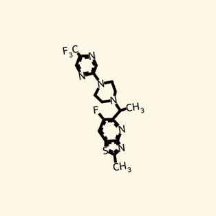 Cc1nc2nc(C(C)N3CCN(c4cnc(C(F)(F)F)cn4)CC3)c(F)cc2s1